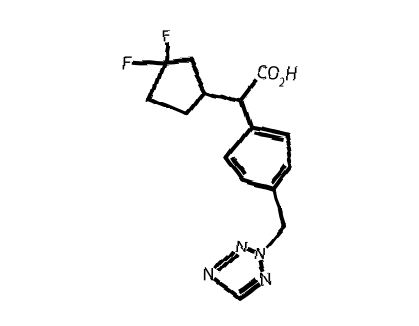 O=C(O)C(c1ccc(Cn2ncnn2)cc1)C1CCC(F)(F)C1